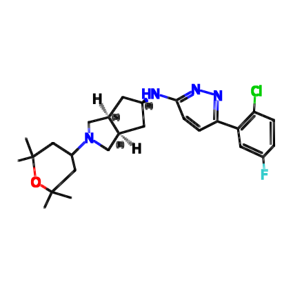 CC1(C)CC(N2C[C@H]3C[C@@H](Nc4ccc(-c5cc(F)ccc5Cl)nn4)C[C@H]3C2)CC(C)(C)O1